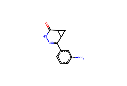 Nc1cccc(C2=NNC(=O)C3CC23)c1